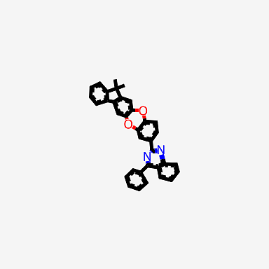 CC1(C)c2ccccc2-c2cc3c(cc21)Oc1ccc(-c2nc(-c4ccccc4)c4ccccc4n2)cc1O3